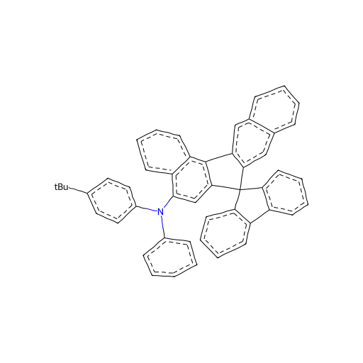 CC(C)(C)c1ccc(N(c2ccccc2)c2cc3c(c4ccccc24)-c2cc4ccccc4cc2C32c3ccccc3-c3ccccc32)cc1